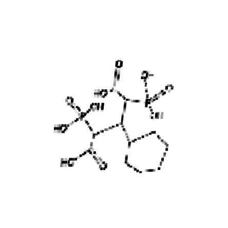 O=C(O)C(C(C1CCCCC1)C(C(=O)O)P(=O)(O)O)P(=O)(O)O